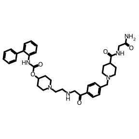 NC(=O)CNC(=O)C1CCN(Cc2ccc(C(=O)CNCCN3CCC(OC(=O)Nc4ccccc4-c4ccccc4)CC3)cc2)CC1